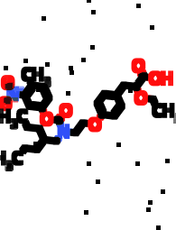 CCCC(CCC)CN(CCOc1ccc(CC(OCC)C(=O)O)cc1)C(=O)Oc1ccc(C)c([N+](=O)[O-])c1